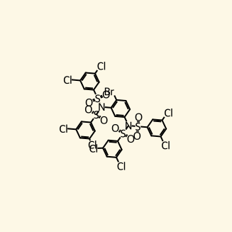 O=S(=O)(c1cc(Cl)cc(Cl)c1)N(c1ccc(Br)c(N(S(=O)(=O)c2cc(Cl)cc(Cl)c2)S(=O)(=O)c2cc(Cl)cc(Cl)c2)c1)S(=O)(=O)c1cc(Cl)cc(Cl)c1